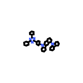 c1ccc(-c2nc(-c3ccccc3)nc(-c3ccc(-n4c5ccccc5c5cc6c(-n7c8ccccc8c8ccccc87)cccc6cc54)cc3)n2)cc1